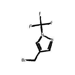 FC(F)(F)n1cc(CBr)cn1